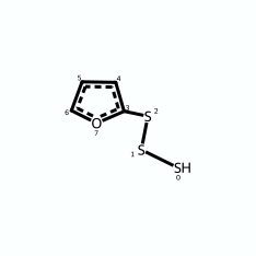 SSSc1ccco1